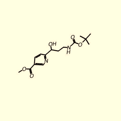 COC(=O)c1ccc(C(O)CCNC(=O)OC(C)(C)C)nc1